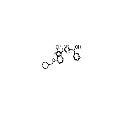 Cc1nc2c(OCC3CCCCC3)cccn2c1-c1nnc(C(O)c2ccccc2)o1